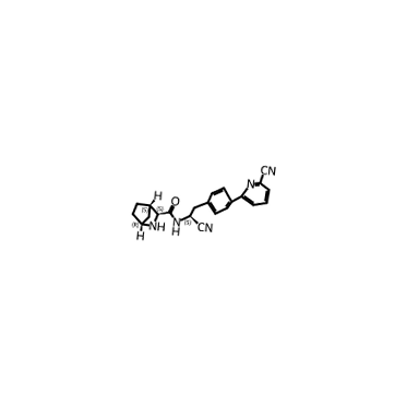 N#Cc1cccc(-c2ccc(C[C@@H](C#N)NC(=O)[C@H]3N[C@@H]4CC[C@H]3C4)cc2)n1